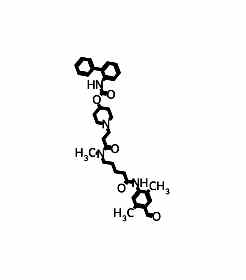 Cc1cc(NC(=O)CCCCN(C)C(=O)CCN2CCC(OC(=O)Nc3ccccc3-c3ccccc3)CC2)c(C)cc1C=O